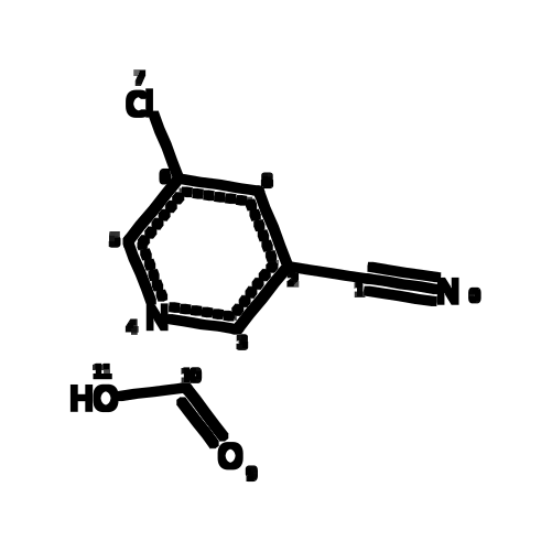 N#Cc1cncc(Cl)c1.O=CO